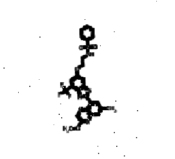 COc1cnc2c(-c3nc4c(C(F)(F)F)cc(OCCNS(=O)(=O)c5ccccc5)cc4s3)cc(C)cc2n1